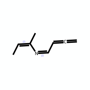 C=C=C/C=N\C(C)=C/C